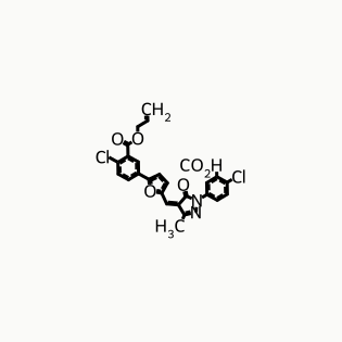 C=CCOC(=O)c1cc(-c2ccc(/C=C3\C(=O)N(c4ccc(Cl)c(C(=O)O)c4)N=C3C)o2)ccc1Cl